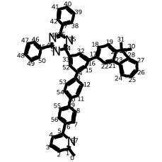 Cc1cccc(-c2ccc(-c3ccc(-c4cc(-c5ccc6c(c5)-c5ccccc5C6(C)C)cc(-c5nc(-c6ccccc6)nc(-c6ccccc6)n5)c4)cc3)cc2)n1